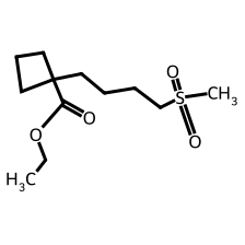 CCOC(=O)C1(CCCCS(C)(=O)=O)CCC1